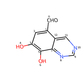 O=Cc1cc(O)c(O)c2ncncc12